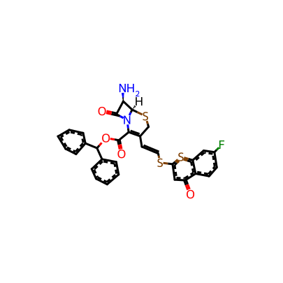 N[C@@H]1C(=O)N2C(C(=O)OC(c3ccccc3)c3ccccc3)=C(/C=C/Sc3cc(=O)c4ccc(F)cc4s3)CS[C@H]12